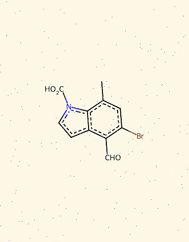 Cc1cc(Br)c(C=O)c2ccn(C(=O)O)c12